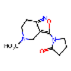 O=C(O)N1CCc2noc(N3CCCC3=O)c2C1